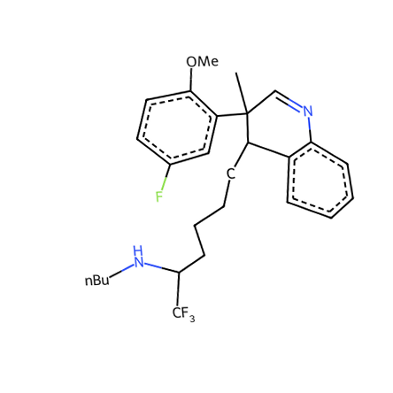 CCCCNC(CCCCC1c2ccccc2N=CC1(C)c1cc(F)ccc1OC)C(F)(F)F